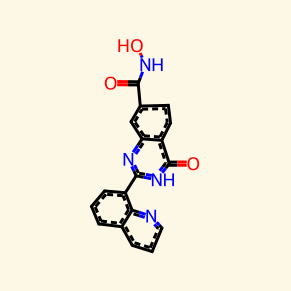 O=C(NO)c1ccc2c(=O)[nH]c(-c3cccc4cccnc34)nc2c1